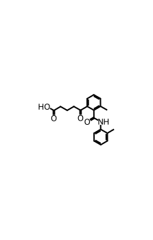 Cc1ccccc1NC(=O)c1c(C)cccc1C(=O)CCCC(=O)O